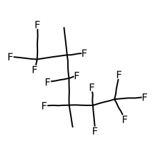 CC(F)(C(F)(F)F)C(F)(F)C(C)(F)C(F)(F)C(F)(F)F